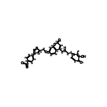 Cc1c(O)c(=O)ccn1CCNCc1cc(=O)oc2cc(OCc3cn(-c4ccc([N+](=O)[O-])cc4)nn3)ccc12